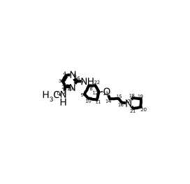 CNc1ccnc(N[C@H]2CCC[C@@H](OCCCN3CCCC3)C2)n1